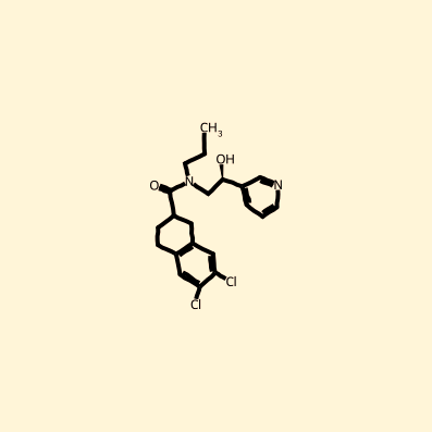 CCCN(C[C@@H](O)c1cccnc1)C(=O)C1CCc2cc(Cl)c(Cl)cc2C1